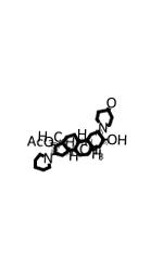 CC(=O)O[C@H]1[C@@H](N2CCCCC2)C[C@H]2[C@@H]3CC[C@H]4C[C@H](O)[C@@H](N5CCC(=O)CC5)C[C@]4(C)[C@H]3CC[C@@]21C